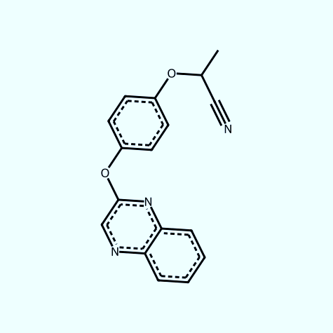 CC(C#N)Oc1ccc(Oc2cnc3ccccc3n2)cc1